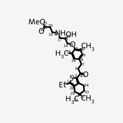 CCc1sc(C(=O)CCc2cc(C)c(OCC(O)CNCCC(=O)OC)c(C)c2)c2c1CC(C)(C)CC2